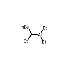 CCCC[CH](CC)[Al]([CH2]C)[CH2]C